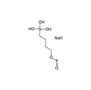 O=POCCCC[Si](O)(O)O.[NaH]